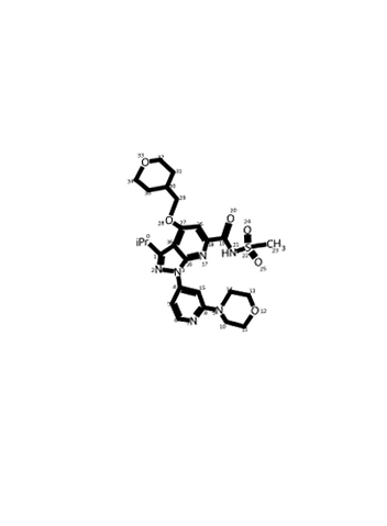 CC(C)c1nn(-c2ccnc(N3CCOCC3)c2)c2nc(C(=O)NS(C)(=O)=O)cc(OCC3CCOCC3)c12